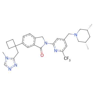 C[C@@H]1C[C@H](C)CN(Cc2cc(N3Cc4ccc(C5(Cc6nncn6C)CCC5)cc4C3=O)nc(C(F)(F)F)c2)C1